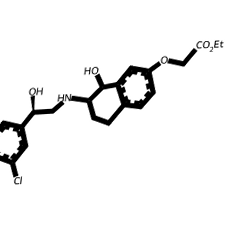 CCOC(=O)COc1ccc2c(c1)C(O)C(NC[C@H](O)c1cccc(Cl)c1)CC2